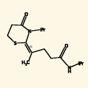 C/C(CCC(=O)NC(C)C)=C1\SCCC(=O)N1C(C)C